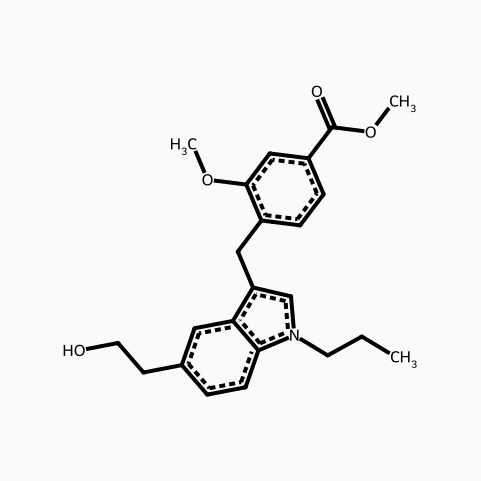 CCCn1cc(Cc2ccc(C(=O)OC)cc2OC)c2cc(CCO)ccc21